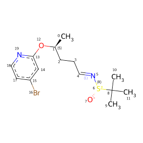 C[C@@H](CC/C=N/[S@@+]([O-])C(C)(C)C)Oc1cc(Br)ccn1